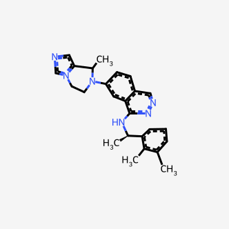 Cc1cccc([C@@H](C)Nc2nncc3ccc(N4CCn5cncc5C4C)cc23)c1C